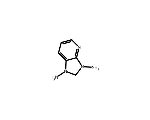 NN1CN(N)c2ncccc21